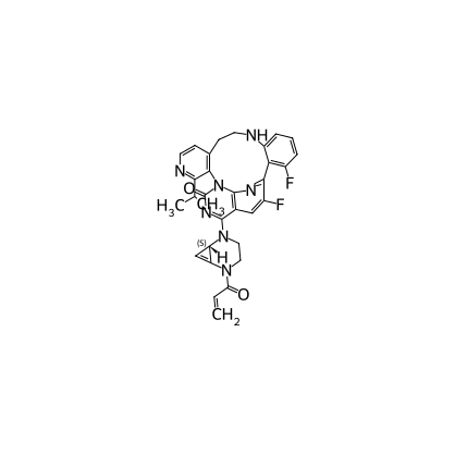 C=CC(=O)N1CCN(c2nc(=O)n3c4nc(c(F)cc24)-c2c(F)cccc2NCCc2ccnc(C(C)C)c2-3)[C@H]2C=C21